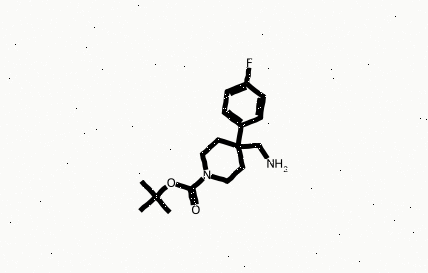 CC(C)(C)OC(=O)N1CCC(CN)(c2ccc(F)cc2)CC1